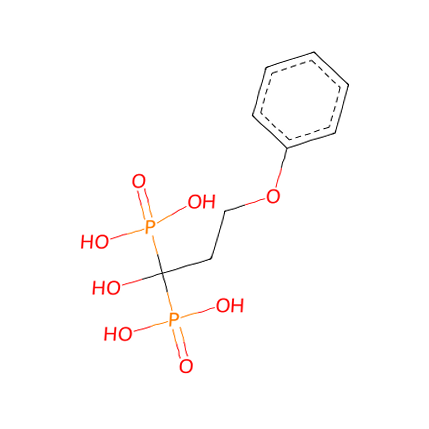 O=P(O)(O)C(O)(CCOc1ccccc1)P(=O)(O)O